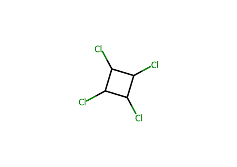 ClC1C(Cl)C(Cl)C1Cl